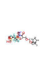 CC1(OCOCCC(=O)[NH+]([O-])S(=O)(=O)C(F)(F)C(F)(F)C(F)(F)S(=O)(=O)O)CCCC1